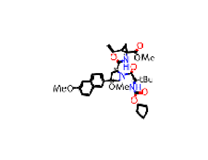 C=CC1C[C@]1(NC(=O)[C@@H]1C[C@@](OC)(c2ccc3cc(OC)ccc3c2)CN1C(=O)[C@@H](NC(=O)OC1CCCC1)C(C)(C)C)C(=O)OC